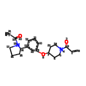 C=CC(=O)N1CCC(Oc2cccc(C3CCCN3C(=O)C(C)C)c2)CC1